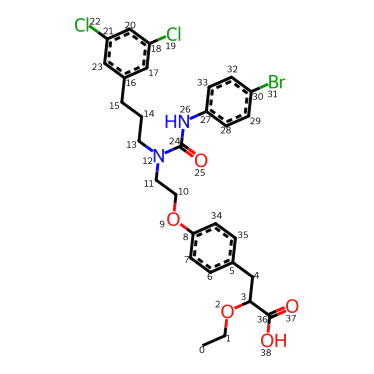 CCOC(Cc1ccc(OCCN(CCCc2cc(Cl)cc(Cl)c2)C(=O)Nc2ccc(Br)cc2)cc1)C(=O)O